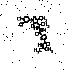 CC1=NN(c2ccc(Cl)c(Cl)c2)C(=O)/C1=C(/C)NNC(=O)c1ccc(C(=O)NC(C)C)s1